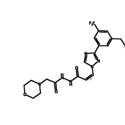 O=C(/C=C\n1cnc(-c2cc(CF)cc(C(F)(F)F)c2)n1)NNC(=O)CN1CCOCC1